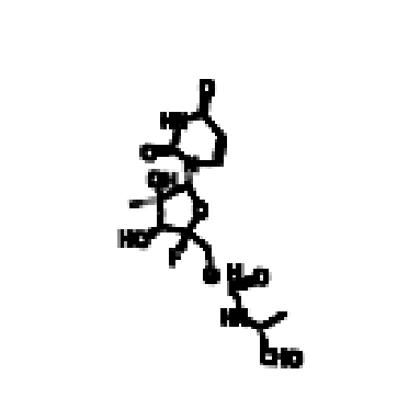 C[C@@H](C=O)N[PH](=O)OC[C@@]1(F)O[C@@H](n2ccc(=O)[nH]c2=O)[C@](C)(O)[C@@H]1O